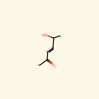 CC(=O)/C=C/C(C)O